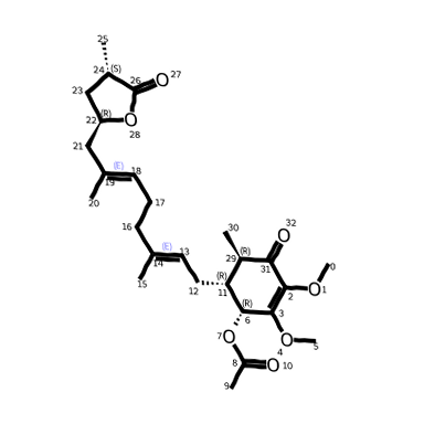 COC1=C(OC)[C@H](OC(C)=O)[C@H](C/C=C(\C)CC/C=C(\C)C[C@H]2C[C@H](C)C(=O)O2)[C@@H](C)C1=O